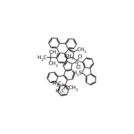 CC1=Cc2c(ccc(C(C)(C)C)c2-c2ccccc2-c2ccccc2)[CH]1[Zr]([Cl])([Cl])([c]1cccc2c1[SiH2]c1ccccc1-2)[CH]1C(C)=Cc2c1ccc(C(C)(C)C)c2-c1ccccc1-c1ccccc1